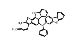 C=C/C=C\c1c(C)oc2c1cc(N(c1ccccc1)c1ccc3c(c1)sc1ccccc13)c1c3ccccc3[nH]c21